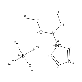 CCOC(CC)[NH+]1C=CN=C1.F[B-](F)(F)F